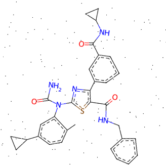 Cc1ccc(C2CC2)cc1N(C(N)=O)c1nc(-c2cccc(C(=O)NC3CC3)c2)c(C(=O)NCc2ccccc2)s1